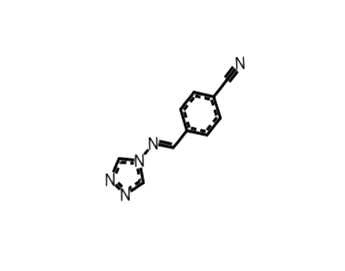 N#Cc1ccc(/C=N/n2cnnc2)cc1